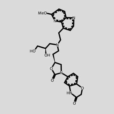 COc1ccc2nccc(CCN(CC[C@H]3CN(c4ccc5c(c4)NC(=O)CO5)C(=O)O3)C[C@@H](O)CO)c2n1